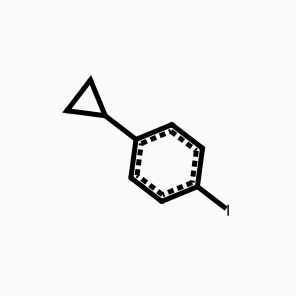 Ic1ccc(C2CC2)cc1